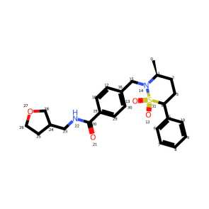 C[C@H]1CCC(c2ccccc2)S(=O)(=O)N1Cc1ccc(C(=O)NCC2CCOC2)cc1